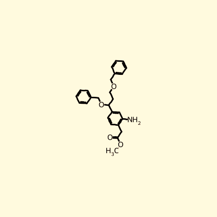 COC(=O)Cc1ccc(C(CCOCc2ccccc2)OCc2ccccc2)cc1N